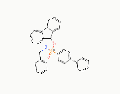 O=[P@](NCc1ccccc1)(OC1c2ccccc2-c2ccccc21)c1ccc(-c2ccccc2)cc1